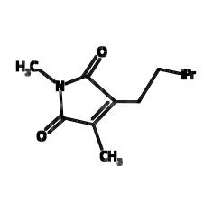 CC1=C(CCC(C)C)C(=O)N(C)C1=O